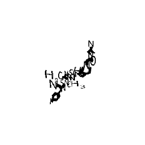 CCc1nc2sc(N3CC4CCN(CC(=O)N5CC(C#N)C5)C[C@H]43)nn2c1N(C)c1nc(-c2ccc(F)cc2)c(C#N)s1